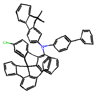 CC1(C)c2ccccc2-c2ccc(N(c3ccc(-c4ccccc4)cc3)c3cccc4c3-c3ccc(Cl)cc3C43c4ccccc4-c4cccc(-c5ccccc5)c43)cc21